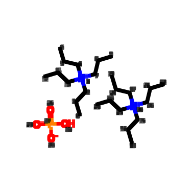 CCC[N+](CCC)(CCC)CCC.CCC[N+](CCC)(CCC)CCC.O=P([O-])([O-])O